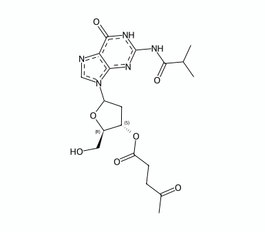 CC(=O)CCC(=O)O[C@H]1CC(n2cnc3c(=O)[nH]c(NC(=O)C(C)C)nc32)O[C@@H]1CO